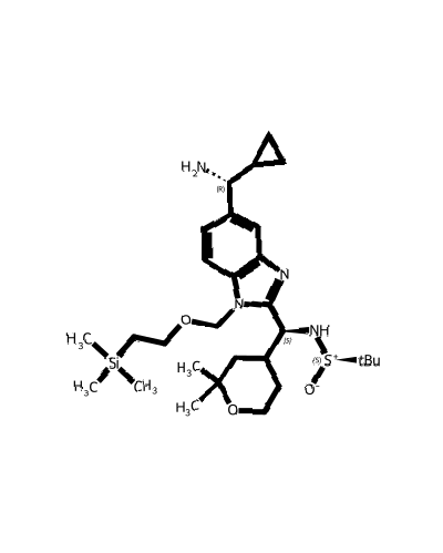 CC1(C)CC([C@H](N[S@+]([O-])C(C)(C)C)c2nc3cc([C@H](N)C4CC4)ccc3n2COCC[Si](C)(C)C)CCO1